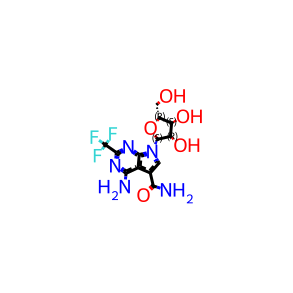 NC(=O)c1cn([C@H]2O[C@H](CO)[C@@H](O)[C@H]2O)c2nc(C(F)(F)F)nc(N)c12